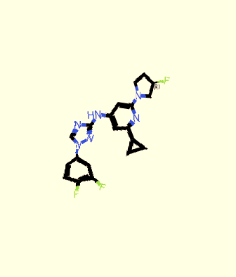 Fc1ccc(-n2cnc(Nc3cc(C4CC4)nc(N4CC[C@@H](F)C4)c3)n2)cc1F